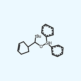 CC(C)(C)C(O[SiH](c1ccccc1)c1ccccc1)C1CC=CCC1